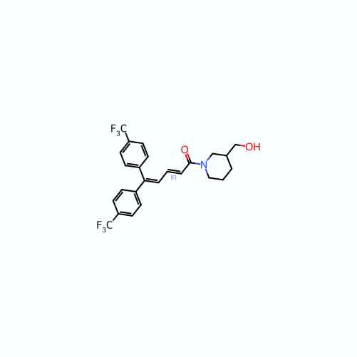 O=C(/C=C/C=C(c1ccc(C(F)(F)F)cc1)c1ccc(C(F)(F)F)cc1)N1CCCC(CO)C1